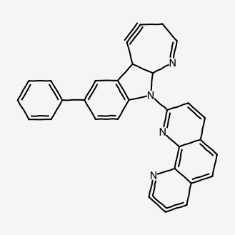 C1=C=Nc2c(ccc3ccc(N4c5ccc(-c6ccccc6)cc5C5C#CCC=NC54)nc23)C=1